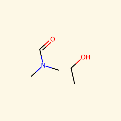 CCO.CN(C)C=O